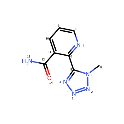 Cn1nnnc1-c1ncccc1C(N)=O